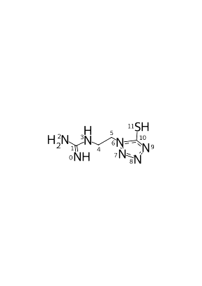 N=C(N)NCCn1nnnc1S